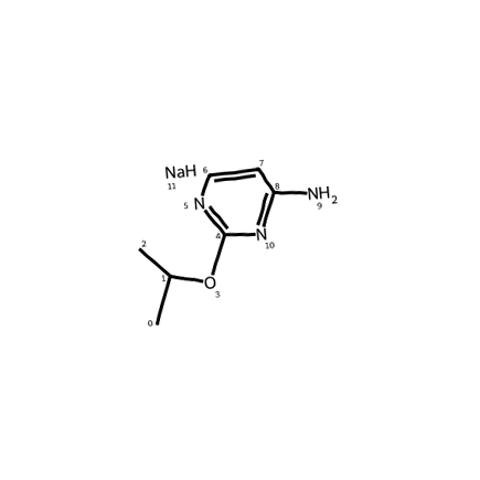 CC(C)Oc1nccc(N)n1.[NaH]